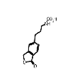 O=C(O)NCCCc1ccc2c(c1)COC2=O